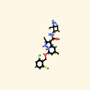 Cc1cc(OCc2c(F)cccc2F)n2nc(C)c(C(=O)NC3CCC3(C)N)c2c1